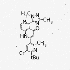 Cc1nc(-c2nccc3[nH]c(-c4cc(Cl)c(C(C)(C)C)nc4C)cc(=O)c23)n(C)n1